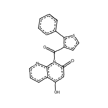 O=C(c1ccsc1-c1ccccc1)n1c(=O)cc(O)c2cccnc21